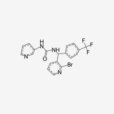 O=C(Nc1cccnc1)NC(c1ccc(C(F)(F)F)cc1)c1cccnc1Br